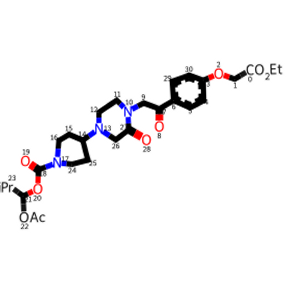 CCOC(=O)COc1ccc(C(=O)CN2CCN(C3CCN(C(=O)OC(OC(C)=O)C(C)C)CC3)CC2=O)cc1